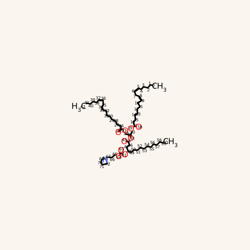 CCCCC/C=C\C/C=C\CCCCCCCC(=O)OCC(COC(=O)CCCCCCC/C=C\C/C=C\CCCCC)OC(=O)CCC(CCCCCCCCCCCC)OC(=O)OCCCN1CCCC1